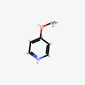 CC[CH]Oc1ccncc1